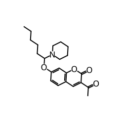 CCCCCC(Oc1ccc2cc(C(C)=O)c(=O)oc2c1)N1CCCCC1